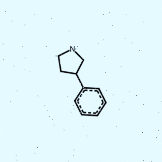 [CH]1CC(c2ccccc2)C[N]1